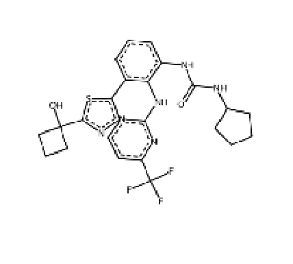 O=C(Nc1cccc(-c2cnc(C3(O)CCC3)s2)c1Nc1nccc(C(F)(F)F)n1)NC1CCCC1